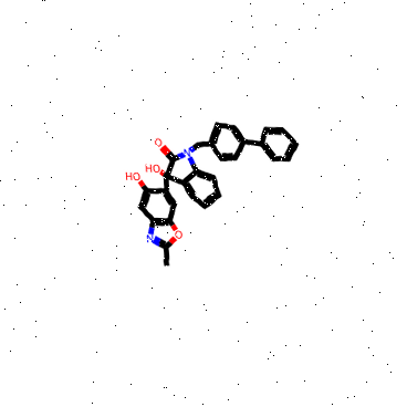 Cc1nc2cc(O)c(C3(O)C(=O)N(Cc4ccc(-c5ccccc5)cc4)c4ccccc43)cc2o1